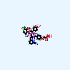 COc1ccc(C(NC(=O)C(Cc2cccc(C#N)c2)NC(=O)c2ccc(OCC(=O)O)cc2)C(=O)NC(C(=O)C(F)(F)F)C(C)C)cc1